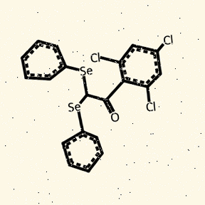 O=C(c1c(Cl)cc(Cl)cc1Cl)C([Se]c1ccccc1)[Se]c1ccccc1